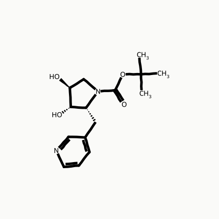 CC(C)(C)OC(=O)N1C[C@H](O)[C@@H](O)[C@H]1Cc1cccnc1